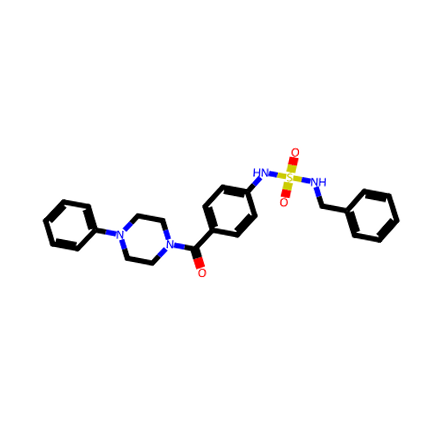 O=C(c1ccc(NS(=O)(=O)NCc2ccccc2)cc1)N1CCN(c2ccccc2)CC1